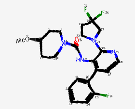 COC1CCN(C(=O)Nc2c(-c3ccccc3F)ccnc2N2CCC(F)(F)C2)CC1